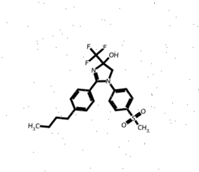 CCCCc1ccc(C2=NC(O)(C(F)(F)F)CN2c2ccc(S(C)(=O)=O)cc2)cc1